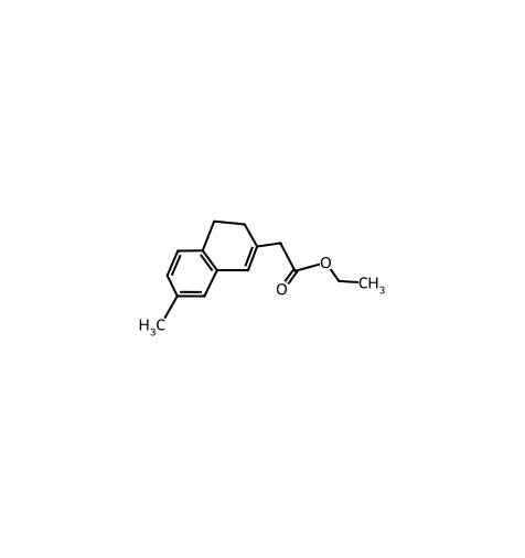 CCOC(=O)CC1=Cc2cc(C)ccc2CC1